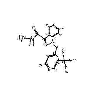 NNC(=O)c1nn(Cc2ccccc2C(F)(F)F)c2ccccc12